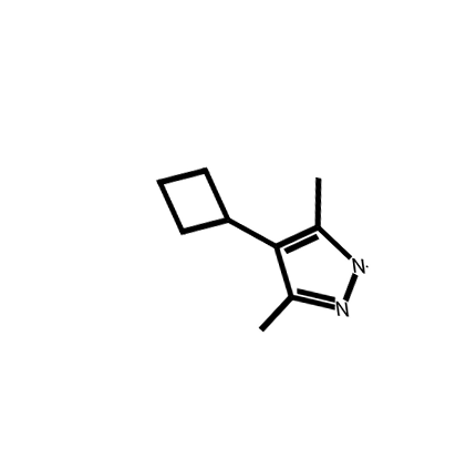 CC1=N[N]C(C)=C1C1CCC1